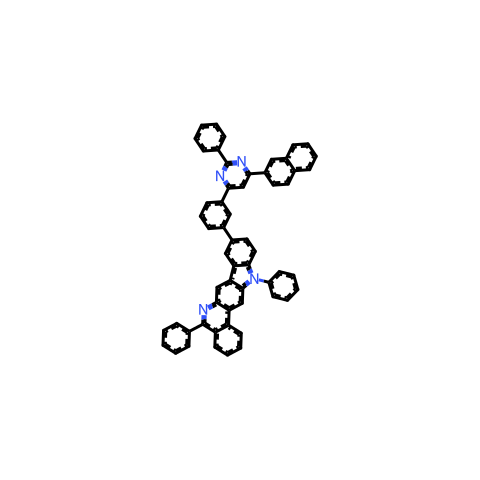 c1ccc(-c2nc(-c3cccc(-c4ccc5c(c4)c4cc6nc(-c7ccccc7)c7ccccc7c6cc4n5-c4ccccc4)c3)cc(-c3ccc4ccccc4c3)n2)cc1